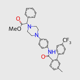 COC(=O)C(c1ccccc1)N1CCN(c2ccc(NC(=O)c3ccc(C)cc3-c3ccc(C(F)(F)F)cc3)cc2)CC1